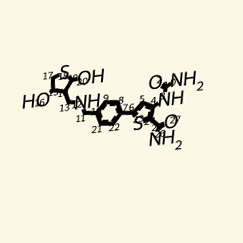 NC(=O)Nc1cc(-c2ccc(CNCC3C(O)CSC3O)cc2)sc1C(N)=O